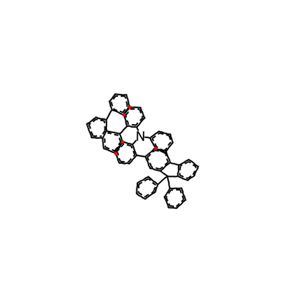 c1ccc(-c2cccc3cccc(-c4ccccc4N(c4ccccc4)c4ccccc4-c4ccc5c(c4)C(c4ccccc4)(c4ccccc4)c4ccccc4-5)c23)cc1